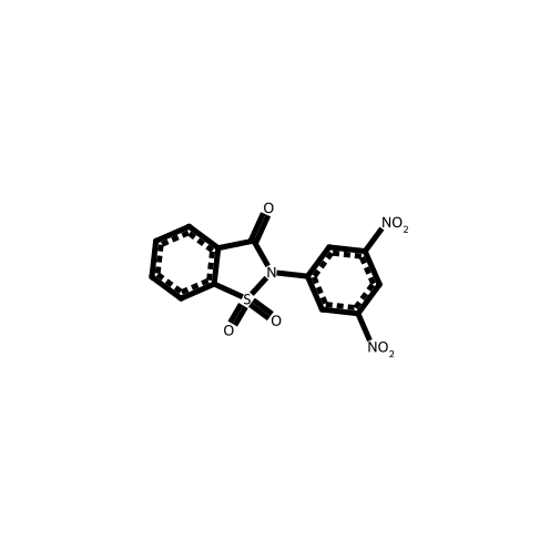 O=C1c2ccccc2S(=O)(=O)N1c1cc([N+](=O)[O-])cc([N+](=O)[O-])c1